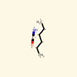 CCCCCC.N=C=O